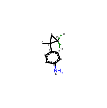 CC1(c2ccc(N)cc2)CC1(F)F